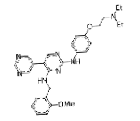 CCN(CC)CCOc1ccc(Nc2ncc(-c3cncnc3)c(NCc3ccccc3OC)n2)cc1